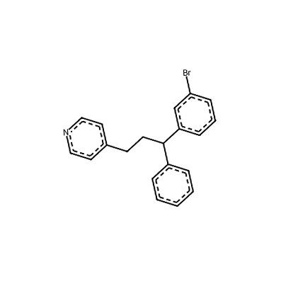 Brc1cccc(C(CCc2ccncc2)c2ccccc2)c1